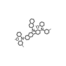 COc1ccccc1N(c1cccc(C)c1)c1ccc2cc3c4ccc(N(c5cccc(C)c5)c5ccccc5OC)cc4n(-c4ccc5ccccc5c4)c3cc2c1